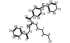 C=C(C/N=C(\CCCCCC)C(=C)c1ccc(SC2=CCCC=C2)cc1)c1ccccc1